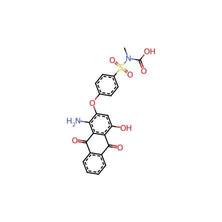 CN(C(=O)O)S(=O)(=O)c1ccc(Oc2cc(O)c3c(c2N)C(=O)c2ccccc2C3=O)cc1